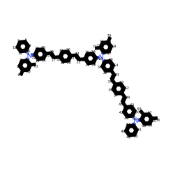 Cc1ccc(N(c2ccccc2)c2ccc(C=Cc3ccc(C=Cc4ccc(N(c5ccc(C=Cc6ccc(C=Cc7ccc(N(c8ccccc8)c8ccc(C)cc8C)cc7)cc6)cc5)c5ccc(C)cc5C)cc4)cc3)cc2)c(C)c1